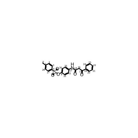 Cc1ccc(S(=O)(=O)Oc2ccc(NC(=O)CC(=O)c3ccccc3)cc2)cc1